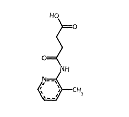 Cc1cccnc1NC(=O)CCC(=O)O